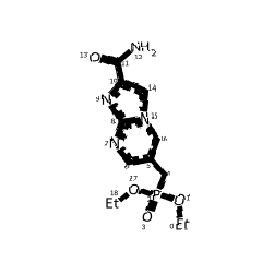 CCOP(=O)(Cc1cnc2nc(C(N)=O)cn2c1)OCC